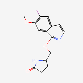 COc1cc2c(OCC3CCC(=O)N3)nccc2cc1I